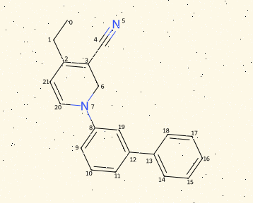 CCC1=C(C#N)CN(c2cccc(-c3ccccc3)c2)C=C1